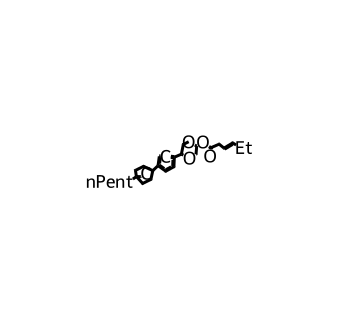 CC/C=C/CC(=O)OC1COC(c2ccc(C34CCC(CCCCC)(CC3)CC4)cc2)CO1